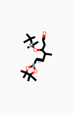 CC(/C=C/B1OC(C)(C)C(C)(C)O1)C(CC=O)O[Si](C)(C)C(C)(C)C